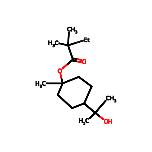 CCC(C)(C)C(=O)OC1(C)CCC(C(C)(C)O)CC1